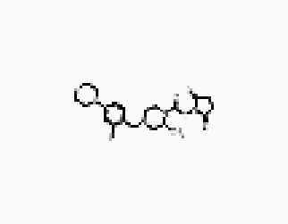 C[C@H]1CN(Cc2ccc(N3CCOCC3)cc2F)CCN1C(=O)ON1C(=O)CCC1=O